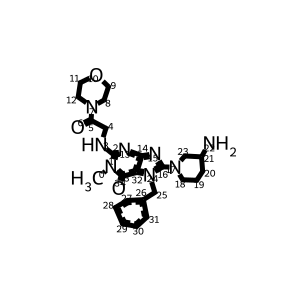 Cn1c(NCC(=O)N2CCOCC2)nc2nc(N3CCCC(N)C3)n(Cc3ccccc3)c2c1=O